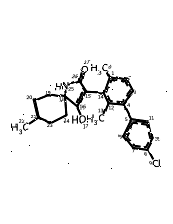 Cc1ccc(-c2ccc(Cl)cc2)c(C)c1C1=C(O)C2(CCC(C)CC2)NC1=O